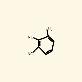 [CH2]c1cccc(C#N)c1C#N